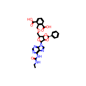 CCNC(=O)Nc1ncnc2c1ncn2C1OC(COCc2c(C(=O)O)cccc2C(=O)O)C2O[C@@H](c3ccccc3)OC21